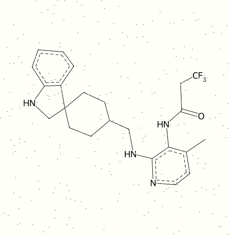 Cc1ccnc(NCC2CCC3(CC2)CNc2ccccc23)c1NC(=O)CC(F)(F)F